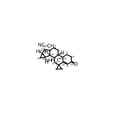 C[C@]12CC[C@H]3[C@@H](CC4(CC4)C4=CC(=O)CC[C@@]43C)[C@@H]1[C@@H]1C[C@@H]1[C@@H]2C#N